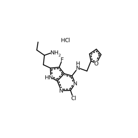 CCC(N)Cc1[nH]c2nc(Cl)nc(NCc3ccco3)c2c1F.Cl